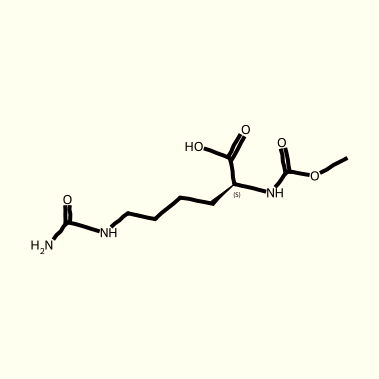 COC(=O)N[C@@H](CCCCNC(N)=O)C(=O)O